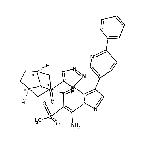 CS(=O)(=O)c1c([C@@H]2C[C@H]3CC[C@@H](C2)N3C(=O)c2cnn[nH]2)nc2c(-c3ccc(-c4ccccc4)nc3)cnn2c1N